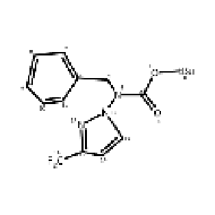 CC(C)(C)OC(=O)N(Cc1ccccc1)n1ccc(C(F)(F)F)n1